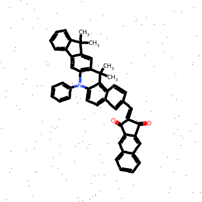 CC1(C)c2ccccc2-c2cc3c(cc21)C(C)(C)c1c(ccc2cc(C=C4C(=O)c5cc6ccccc6cc5C4=O)ccc12)N3c1ccccc1